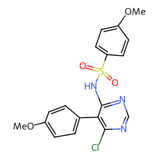 COc1ccc(-c2c(Cl)ncnc2NS(=O)(=O)c2ccc(OC)cc2)cc1